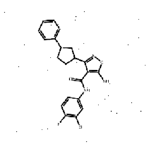 Nc1onc(C2CCC(c3ccccc3)C2)c1C(=O)Nc1ccc(F)c(Cl)c1